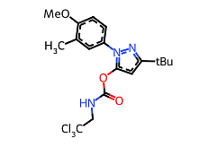 COc1ccc(-n2nc(C(C)(C)C)cc2OC(=O)NCC(Cl)(Cl)Cl)cc1C